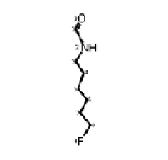 O=[C]NCCCCCCF